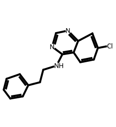 Clc1ccc2c(NCCc3ccccc3)ncnc2c1